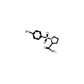 CC(C)c1ccc(S(=O)(=O)N2CCCC2C(N)=O)cc1